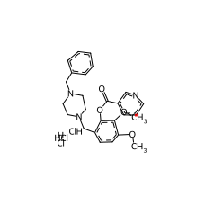 COc1ccc(CN2CCN(Cc3ccccc3)CC2)c(OC(=O)c2cccnc2)c1OC.Cl.Cl.Cl